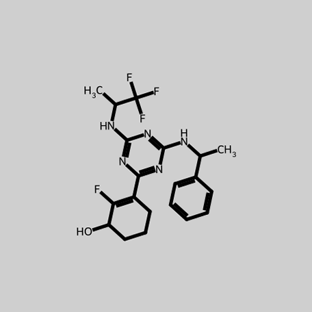 CC(Nc1nc(NC(C)C(F)(F)F)nc(C2=C(F)C(O)CCC2)n1)c1ccccc1